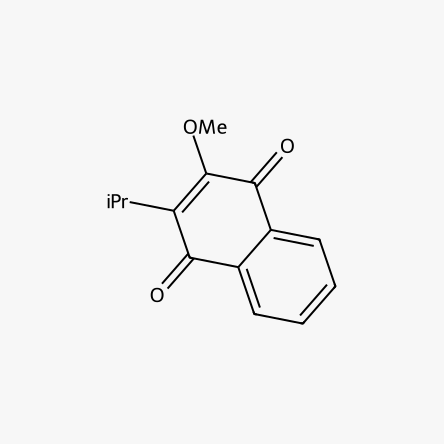 COC1=C(C(C)C)C(=O)c2ccccc2C1=O